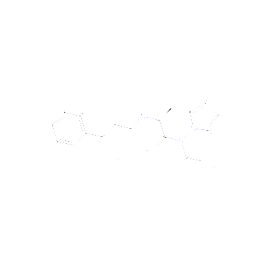 CCOC(=O)[C@@H](CCN[C@@H](C)C(=O)N(CC(=O)O)n1cccc1)c1ccccc1